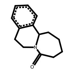 O=C1CCCCC2c3ccccc3CCN12